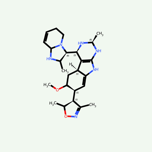 COC1C[C@@H]2C(=C[C@H]1[C@H]1C(C)=NOC1C)NC1=C2[C@@H]([C@H]2C(C)NC3C=CCCN32)N[C@@H](C)N1